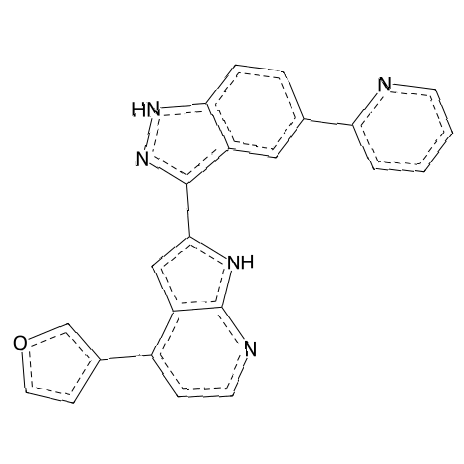 c1ccc(-c2ccc3[nH]nc(-c4cc5c(-c6ccoc6)ccnc5[nH]4)c3c2)nc1